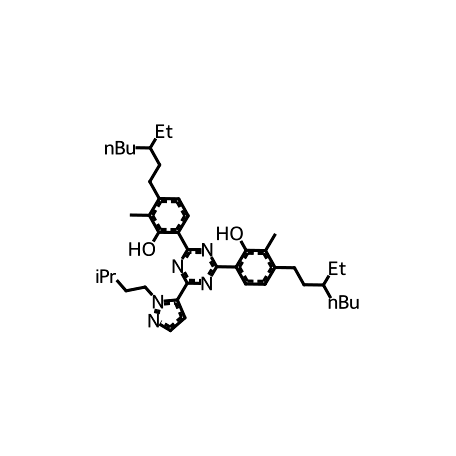 CCCCC(CC)CCc1ccc(-c2nc(-c3ccc(CCC(CC)CCCC)c(C)c3O)nc(-c3ccnn3CCC(C)C)n2)c(O)c1C